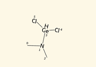 C[N](C)[GeH]([Cl])[Cl]